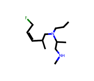 CCCN(CC(C)/C=C\CF)C(C)CNC